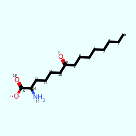 CCCCCCCCC(=O)CCCCC(N)C([O])=O